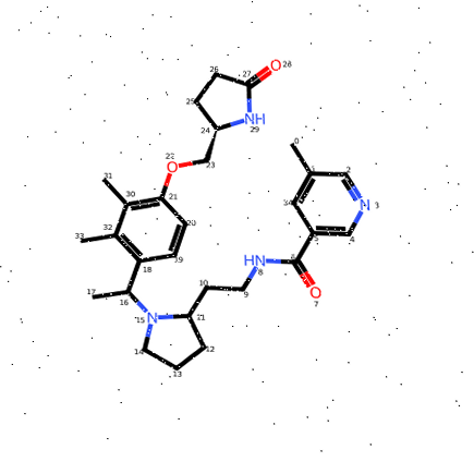 Cc1cncc(C(=O)NCCC2CCCN2C(C)c2ccc(OC[C@H]3CCC(=O)N3)c(C)c2C)c1